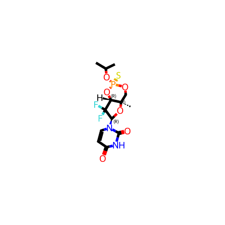 CC(C)OP1(=S)OC[C@@]2(C)O[C@@H](n3ccc(=O)[nH]c3=O)C(F)(F)[C@@H]2O1